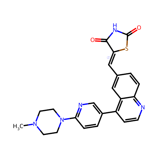 CN1CCN(c2ccc(-c3ccnc4ccc(/C=C5\SC(=O)NC5=O)cc34)cn2)CC1